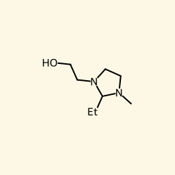 CCC1N(C)CCN1CCO